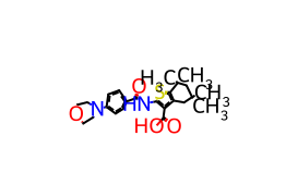 CC1(C)Cc2c(sc(NC(=O)c3ccc(N4CCOCC4)cc3)c2C(=O)O)C(C)(C)C1